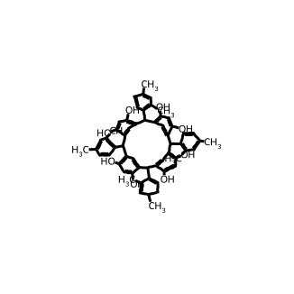 CC1=CC(C)CC=C1C1c2cc(c(O)cc2O)C(c2ccc(C)cc2C)c2cc(c(O)cc2O)C(c2ccc(C)cc2C)c2cc(c(O)cc2O)C(c2ccc(C)cc2C)c2cc1c(O)cc2O